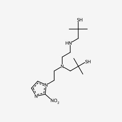 CC(C)(S)CNCCN(CCn1ccnc1[N+](=O)[O-])CC(C)(C)S